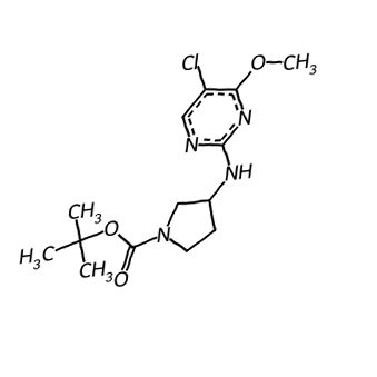 COc1nc(NC2CCN(C(=O)OC(C)(C)C)C2)ncc1Cl